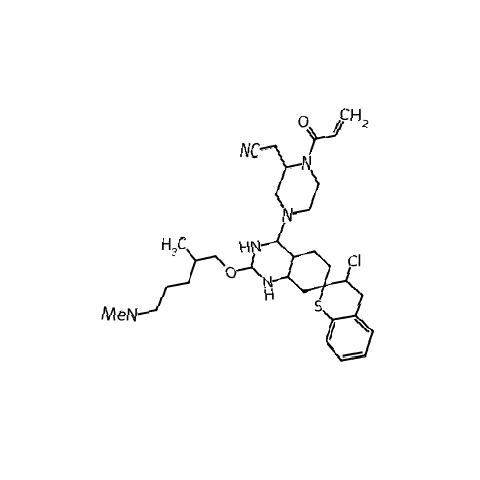 C=CC(=O)N1CCN(C2NC(OCC(C)CCCNC)NC3C[C@]4(CCC32)Sc2ccccc2CC4Cl)CC1CC#N